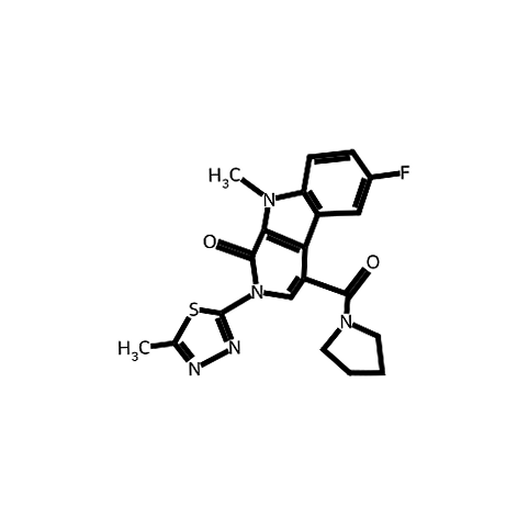 Cc1nnc(-n2cc(C(=O)N3CCCC3)c3c4cc(F)ccc4n(C)c3c2=O)s1